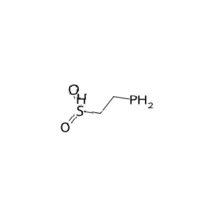 O=[SH](=O)CCP